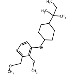 CCC(C)(C)C1CCC(Nc2ccnc(COC)c2OC)CC1